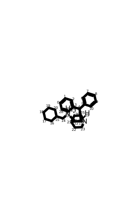 c1ccc(C(c2ccccc2)[C@H]2[C@H](NCC3CCCCC3)C3CCN2CC3)cc1